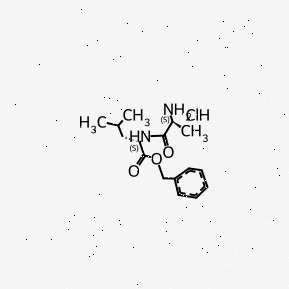 CC(C)C[C@H](NC(=O)[C@H](C)N)C(=O)OCc1ccccc1.Cl